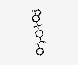 O=C(Nc1ccccc1)C1CCN(S(=O)(=O)c2ccc3[nH]ccc3c2)CC1